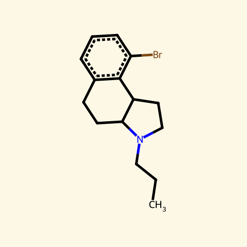 CCCN1CCC2c3c(Br)cccc3CCC21